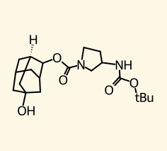 CC(C)(C)OC(=O)NC1CCN(C(=O)OC2C3CC4C[C@@H]2CC(O)(C4)C3)C1